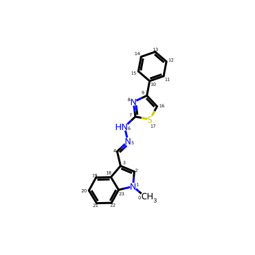 Cn1cc(C=NNc2nc(-c3ccccc3)cs2)c2ccccc21